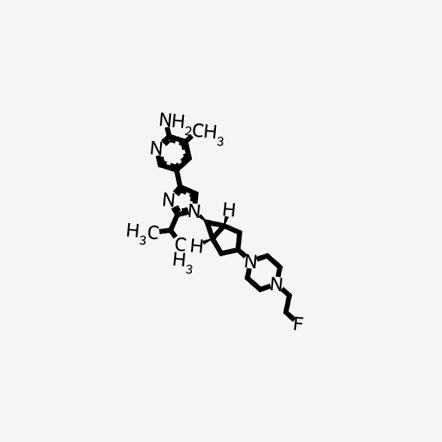 Cc1cc(-c2cn([C@H]3[C@@H]4CC(N5CCN(CCF)CC5)C[C@@H]43)c(C(C)C)n2)cnc1N